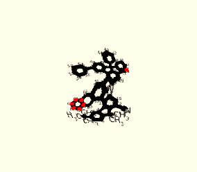 CC(C)(C)c1ccc2c(c1)-c1c(c(C#N)cc3c1c1c4c(cc5c6c7c(c(C#N)cc6n3c51)C(c1ccccc1)(c1ccccc1)c1ccc(-c3ccccc3)cc1-7)C1c3ccccc3C4c3ccccc31)C2(C)C